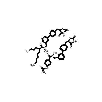 CC(=O)Nc1ccc(C(=O)N(C)Cc2cccc(-c3ccc(CC4SC(=O)NC4=O)cc3)c2)cc1.CCCCCCC(CCCC)C(=O)N(C)Cc1cccc(-c2ccc(CC3SC(=O)NC3=O)cc2)c1